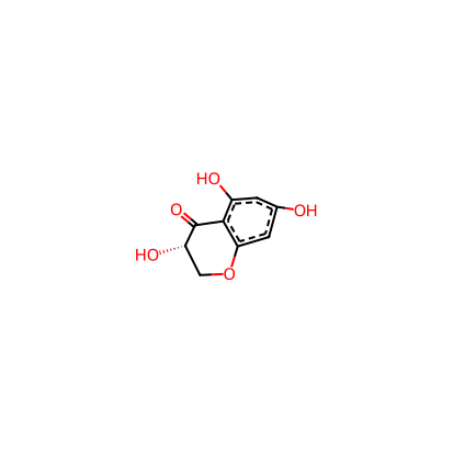 O=C1c2c(O)cc(O)cc2OC[C@@H]1O